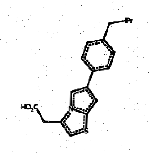 CC(C)Cc1ccc(-c2cc3scc(CC(=O)O)n3c2)cc1